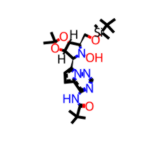 CC1(C)O[C@@H]2[C@H](O1)[C@@H](CO[Si](C)(C)C(C)(C)C)N(O)[C@H]2c1ccc2c(NC(=O)C(C)(C)C)ncnn12